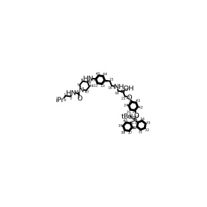 CC(C)CCNC(=O)N1CCC(Nc2ccc(CCNC[C@H](O)COc3ccc(O[Si](c4ccccc4)(c4ccccc4)C(C)(C)C)cc3)cc2)CC1